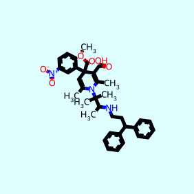 COC(=O)C1(c2cccc([N+](=O)[O-])c2)C=C(C)N(C(C)(C)C(C)NCCC(c2ccccc2)c2ccccc2)C(C)=C1C(=O)O